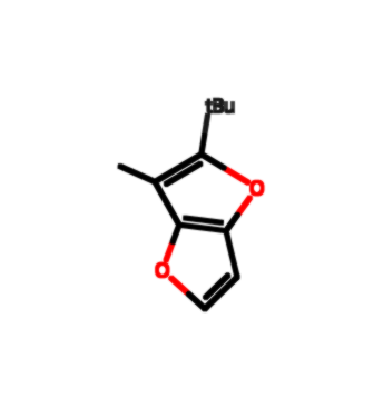 Cc1c(C(C)(C)C)oc2ccoc12